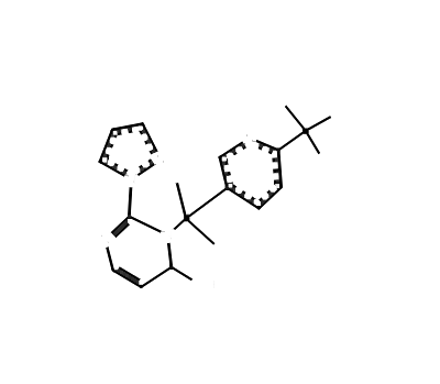 CC(C)(c1ccc(C(F)(F)F)nc1)N1C(n2cccn2)=NC=CC1O